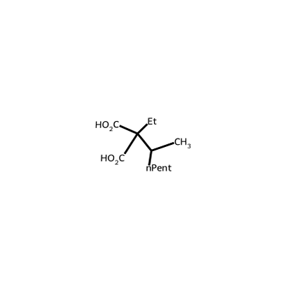 CCCCCC(C)C(CC)(C(=O)O)C(=O)O